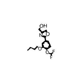 CCCCOc1cc(-c2nc(CO)co2)ccc1OC(F)F